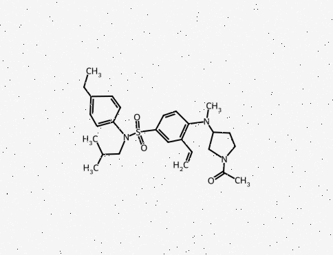 C=Cc1cc(S(=O)(=O)N(CC(C)C)c2ccc(CC)cc2)ccc1N(C)C1CCN(C(C)=O)C1